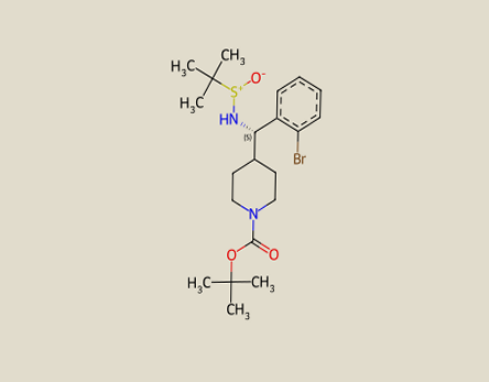 CC(C)(C)OC(=O)N1CCC([C@H](N[S+]([O-])C(C)(C)C)c2ccccc2Br)CC1